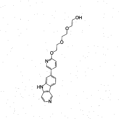 OCCOCCOCCOc1ccc(-c2ccc3c(c2)[nH]c2ccncc23)cn1